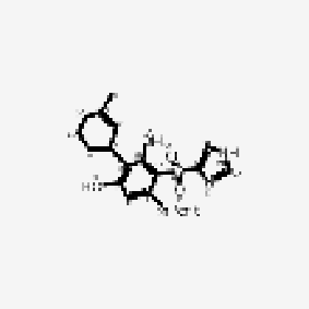 CCCCCc1cc(O)c(C2C=C(C)CCC2)c(O)c1S(=O)(=O)c1c[nH]cn1